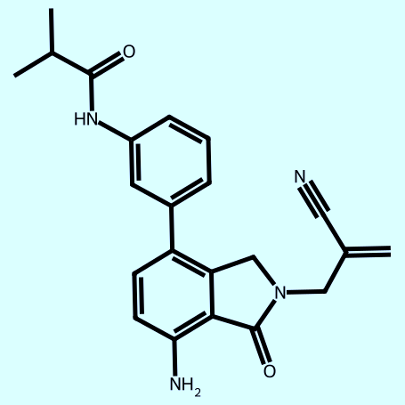 C=C(C#N)CN1Cc2c(-c3cccc(NC(=O)C(C)C)c3)ccc(N)c2C1=O